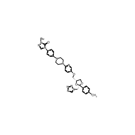 CCC(C)n1ncn(-c2ccc(N3CCN(c4ccc(OC[C@@H]5CO[C@@](Cn6cnnn6)(c6ccc(C)cc6)O5)cn4)CC3)cc2)c1=O